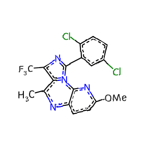 COc1ccc2nc(C)c3c(C(F)(F)F)nc(-c4cc(Cl)ccc4Cl)n3c2n1